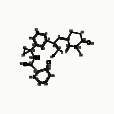 C=C1/C(=C\C(=C(/C)F)c2cncc(C3(NC(=O)c4ncccc4Cl)CC3)c2)CCC(=O)N1C